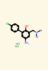 CCN(CC)Cc1cc(N)cc(-c2ccc(Cl)cc2)c1O.Cl.Cl